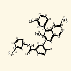 Cc1ccc(C(=O)Nc2cccc(C(F)(F)F)c2)cc1-c1cc2cnc(N)nc2c(-c2cccc(Cl)c2)c1O